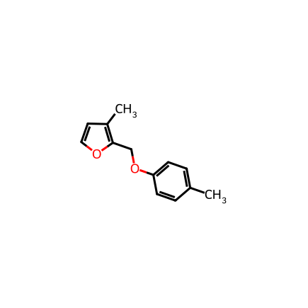 Cc1ccc(OCc2occc2C)cc1